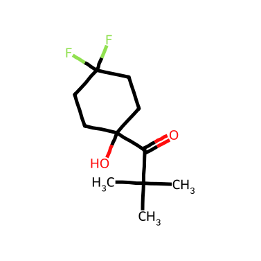 CC(C)(C)C(=O)C1(O)CCC(F)(F)CC1